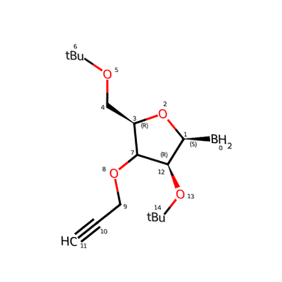 B[C@@H]1O[C@H](COC(C)(C)C)C(OCC#C)[C@@H]1OC(C)(C)C